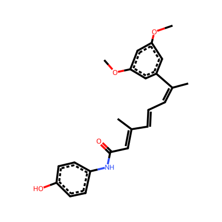 COc1cc(OC)cc(\C(C)=C/C=C/C(C)=C/C(=O)Nc2ccc(O)cc2)c1